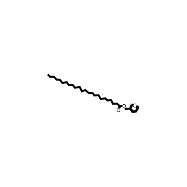 CCCCCCCCCCCCCCCCCCCCCCCC(=O)OCc1ccccc1